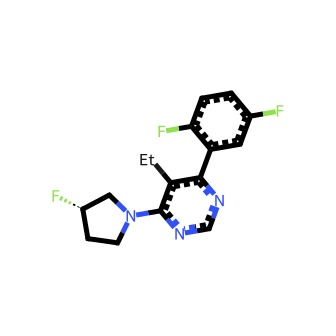 CCc1c(-c2cc(F)ccc2F)ncnc1N1CC[C@H](F)C1